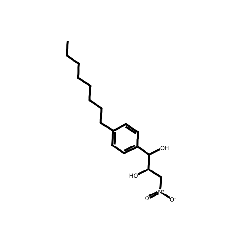 CCCCCCCCc1ccc(C(O)C(O)C[N+](=O)[O-])cc1